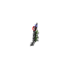 C/C=C/C1CCC(c2ccc(-c3ccc(-c4ccc(CCCCCC)c(F)c4F)cc3)c(F)c2)OC1